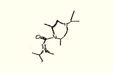 CC(C)N1CC(C)N(C(=O)N(C)C(C)C)C(C)C1